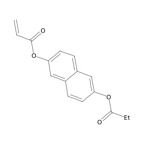 C=CC(=O)Oc1ccc2cc(OC(=O)CC)ccc2c1